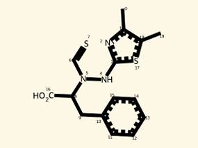 Cc1nc(NN(C=S)C(Cc2ccccc2)C(=O)O)sc1C